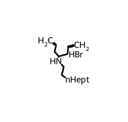 Br.C=CCC(CC=C)NCCCCCCCCC